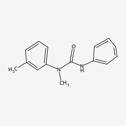 Cc1cccc(N(C)C(=O)Nc2ccccc2)c1